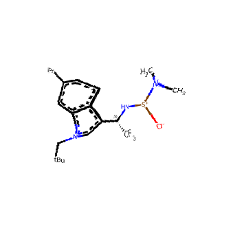 CC(C)c1ccc2c([C@H](N[S+]([O-])N(C)C)C(F)(F)F)cn(CC(C)(C)C)c2c1